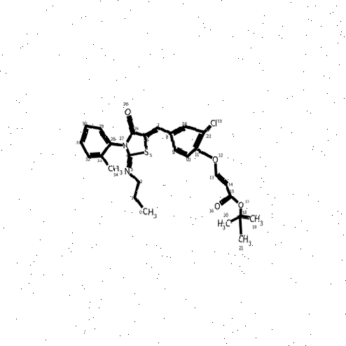 CCC/N=C1\S/C(=C\c2ccc(O/C=C/C(=O)OC(C)(C)C)c(Cl)c2)C(=O)N1c1ccccc1C